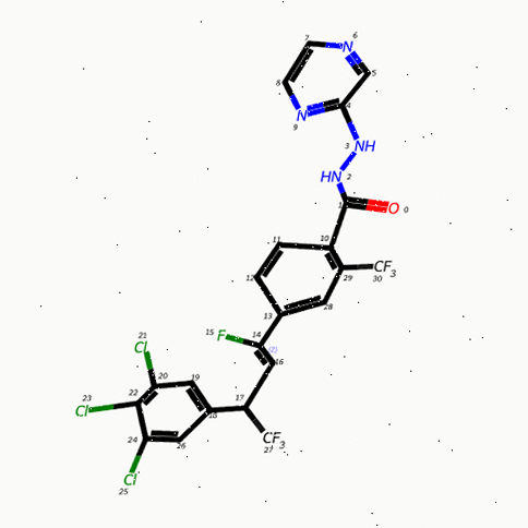 O=C(NNc1cnccn1)c1ccc(/C(F)=C/C(c2cc(Cl)c(Cl)c(Cl)c2)C(F)(F)F)cc1C(F)(F)F